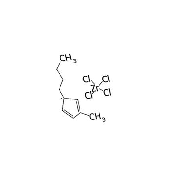 CCCC[C]1C=CC(C)=C1.[Cl][Zr]([Cl])([Cl])[Cl]